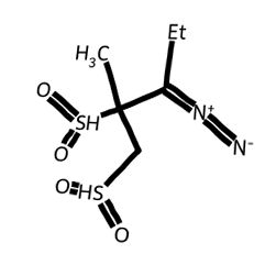 CCC(=[N+]=[N-])C(C)(C[SH](=O)=O)[SH](=O)=O